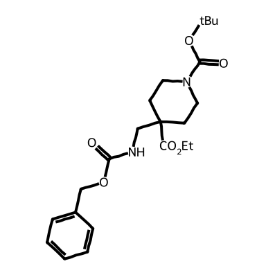 CCOC(=O)C1(CNC(=O)OCc2ccccc2)CCN(C(=O)OC(C)(C)C)CC1